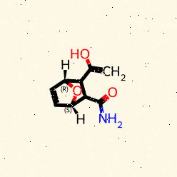 C=C(O)C1C(C(N)=O)[C@@H]2C=C[C@H]1O2